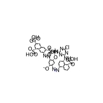 CNc1nc(Cl)nc(Nc2ccc(/N=N\c3cc(OC)c(N=Nc4cc5c(S(=O)(=O)O)cc(S(=O)(=O)O)cc5cc4S(=O)(=O)O)cc3OC)c3cccc(S(=O)(=O)O)c23)n1